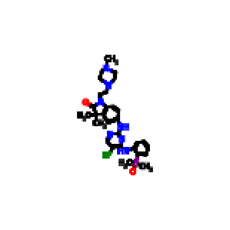 CN1CCN(CCN2C(=O)C(C)(C)c3cc(Nc4ncc(Br)c(Nc5ccccc5P(C)(C)=O)n4)ccc32)CC1